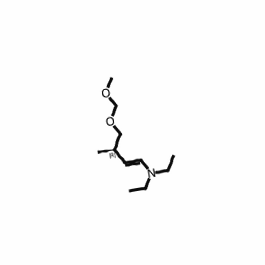 CCN(C=C[C@@H](C)COCOC)CC